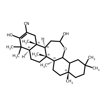 CC1(C)CC[C@]2(C)CC[C@]3(C)C(OC(O)C[C@@H]4[C@@]5(C)CC(C#N)=C(O)C(C)(C)[C@@H]5CC[C@]43C)C2C1